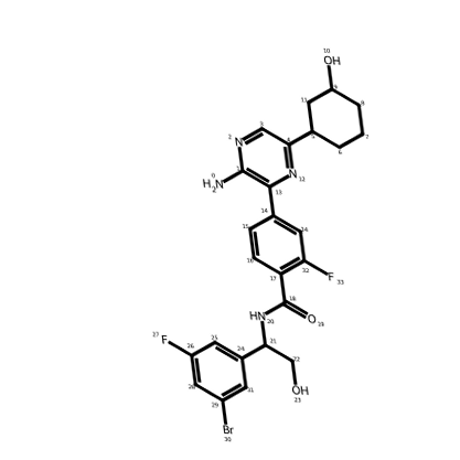 Nc1ncc(C2CCCC(O)C2)nc1-c1ccc(C(=O)NC(CO)c2cc(F)cc(Br)c2)c(F)c1